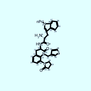 CCCn1cc(C[C@@H](N)C(=O)NC2Cc3cccc(N4CCCC4=O)c3N(Cc3ccsc3)C2=O)c2ccccc21